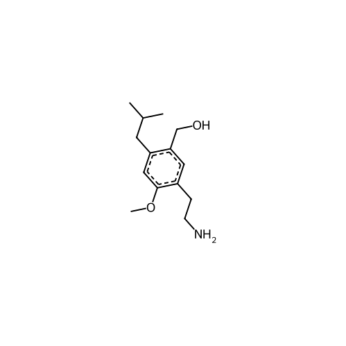 COc1cc(CC(C)C)c(CO)cc1CCN